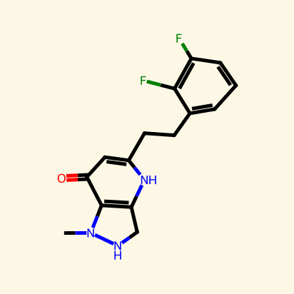 CN1NCc2[nH]c(CCc3cccc(F)c3F)cc(=O)c21